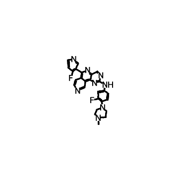 CN1CCN(c2ccc(Nc3ncc4nc(-c5cnccc5F)c5ccncc5c4n3)cc2F)CC1